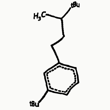 CC(CCc1cccc(C(C)(C)C)c1)C(C)(C)C